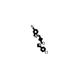 N#Cc1ccc2c(cnn2CC23CC(C(=O)N4CCC4c4ccc(Cl)cc4)(C2)C3)c1